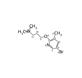 Cc1cc(Br)cnc1OCCCN(C)C